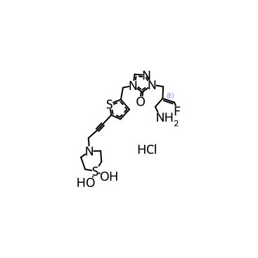 Cl.NC/C(=C\F)Cn1ncn(Cc2ccc(C#CCN3CCS(O)(O)CC3)s2)c1=O